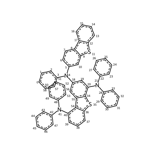 c1ccc(N(c2ccc3c(c2)sc2ccccc23)c2cc(N(c3ccccc3)c3ccccc3)c3sc4cccc(N(c5ccccc5)c5ccccc5)c4c3c2)cc1